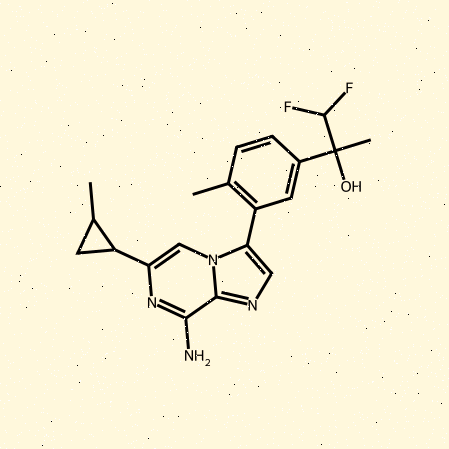 Cc1ccc(C(C)(O)C(F)F)cc1-c1cnc2c(N)nc(C3CC3C)cn12